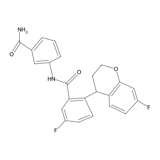 NC(=O)c1cccc(NC(=O)c2cc(F)ccc2C2CCOc3cc(F)ccc32)c1